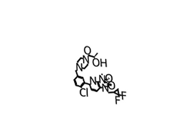 C[C@@H](O)C(=O)N1CCN(Cc2ccc(Cl)c(-c3ccc4c(n3)N(C)S(=O)(=O)N4CC3CC3(F)F)c2)CC1